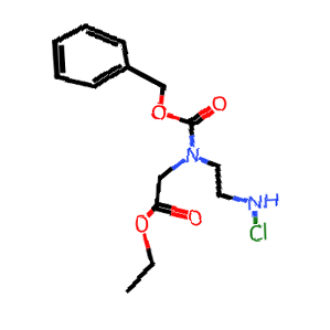 CCOC(=O)CN(CCNCl)C(=O)OCc1ccccc1